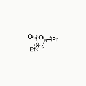 CCN1C[C@H](C(C)C)OC1=O